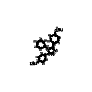 CCCCc1ccc(-c2nnc(-c3ccc(C(C)(C)C)cc3)n2-c2ccccc2)cc1